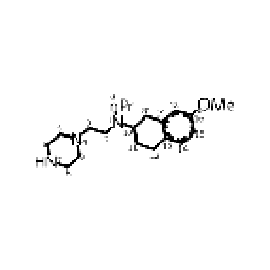 CCCN(CCN1CCNCC1)C1CCc2ccc(OC)cc2C1